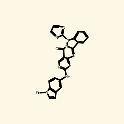 CCn1ccc2cc(Nc3ncc4c(=O)n5c(nc4n3)c3ccccc3n5-c3ncccn3)ccc21